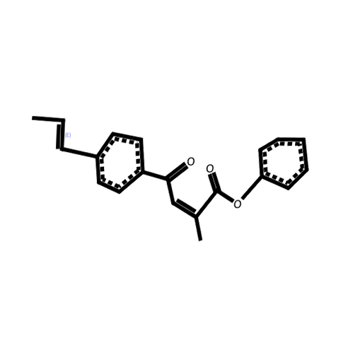 C/C=C/c1ccc(C(=O)C=C(C)C(=O)Oc2ccccc2)cc1